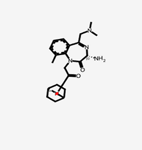 Cc1cccc2c1N(CC(=O)N1CC3CCC(CC3)C1)C(=O)[C@@H](N)N=C2CN(C)C